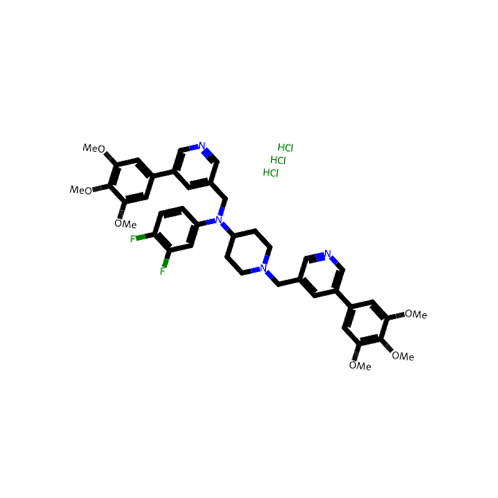 COc1cc(-c2cncc(CN3CCC(N(Cc4cncc(-c5cc(OC)c(OC)c(OC)c5)c4)c4ccc(F)c(F)c4)CC3)c2)cc(OC)c1OC.Cl.Cl.Cl